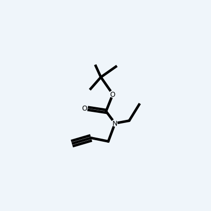 C#CCN(CC)C(=O)OC(C)(C)C